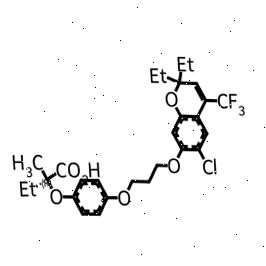 CCC1(CC)C=C(C(F)(F)F)c2cc(Cl)c(OCCCOc3ccc(O[C@](C)(CC)C(=O)O)cc3)cc2O1